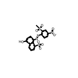 CS(=O)(=O)c1cc([N+](=O)[O-])ccc1N=Nc1ccc(O)c2cccc(S(=O)(=O)Cl)c12